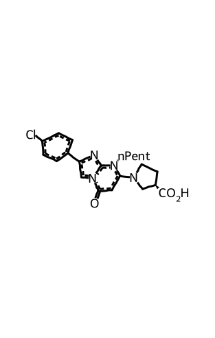 CCCCCn1c(N2CC[C@@H](C(=O)O)C2)cc(=O)n2cc(-c3ccc(Cl)cc3)nc12